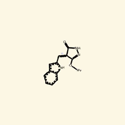 CC(C)OC1=NNC(=O)/C1=C/c1cc2ccccc2[nH]1